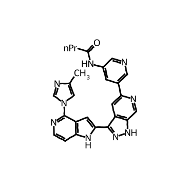 CCCC(=O)Nc1cncc(-c2cc3c(-c4cc5c(-n6cnc(C)c6)nccc5[nH]4)n[nH]c3cn2)c1